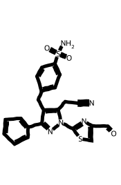 N#CCc1c(Cc2ccc(S(N)(=O)=O)cc2)c(-c2ccccc2)nn1-c1nc(C=O)cs1